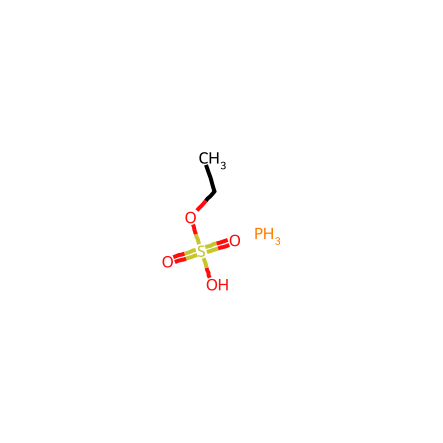 CCOS(=O)(=O)O.P